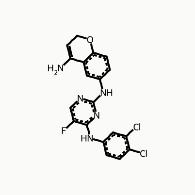 NC1=CCOc2ccc(Nc3ncc(F)c(Nc4ccc(Cl)c(Cl)c4)n3)cc21